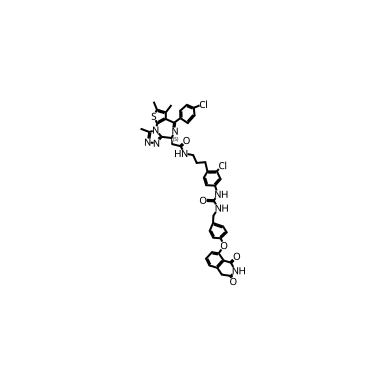 Cc1sc2c(c1C)C(c1ccc(Cl)cc1)=N[C@@H](CC(=O)NCCCc1ccc(NC(=O)NCc3ccc(Oc4cccc5c4C(=O)NC(=O)C5)cc3)cc1Cl)c1nnc(C)n1-2